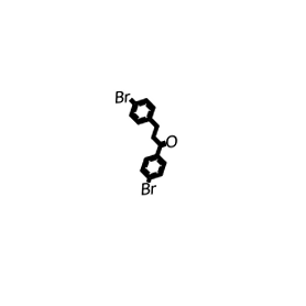 O=C(CCc1ccc(Br)cc1)c1ccc(Br)cc1